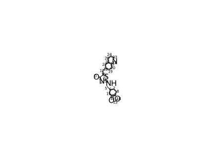 O=C1N=C(NCc2ccc3c(c2)OCO3)S/C1=C\c1ccc2ncccc2c1